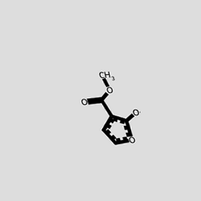 COC(=O)c1ccoc1[O]